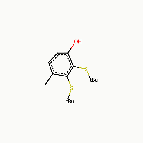 Cc1ccc(O)c(SC(C)(C)C)c1SC(C)(C)C